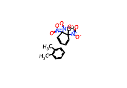 CC1([N+](=O)[O-])C=CC=CC1([N+](=O)[O-])[N+](=O)[O-].Cc1ccccc1C